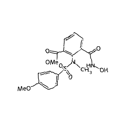 COC(=O)c1cccc(C(=O)NO)c1N(C)S(=O)(=O)c1ccc(OC)cc1